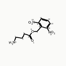 NCCCC(=O)OCc1c([N+](=O)[O-])cccc1[N+](=O)[O-]